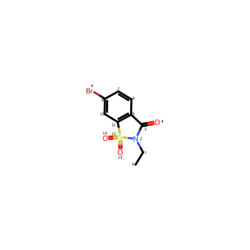 CCN1C(=O)c2ccc(Br)cc2S1(=O)=O